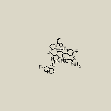 C=CC(=O)N1CC[C@@H](N(C)c2nc(OC[C@@]34CCCN3C[C@H](F)C4)nc3c(F)c(-c4ccc(F)c5sc(N)c(C#N)c45)c(C(F)(F)F)cc23)[C@@H]1CC